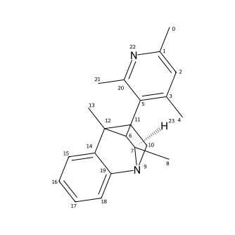 Cc1cc(C)c(C2[C@@H](C)N3CCC2(C)c2ccccc23)c(C)n1